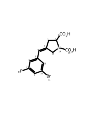 O=C(O)C1CC(=Cc2cc(F)cc(Br)c2)CN1C(=O)O